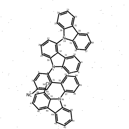 N#Cc1ccc(-n2c3ccccc3c3c(-n4c5ccccc5c5ccccc54)cccc32)c(-c2ccccc2-n2c3ccccc3c3cccc(C#N)c32)c1